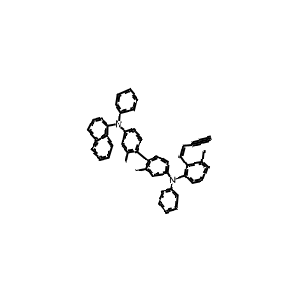 C#C/C=C\c1c(C)cccc1N(c1ccccc1)c1ccc(-c2ccc(N(c3ccccc3)c3cccc4ccccc34)cc2C)c(C)c1